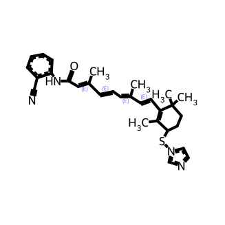 CC1=C(/C=C/C(C)=C/C=C/C(C)=C/C(=O)Nc2ccccc2C#N)C(C)(C)CCC1Sn1ccnc1